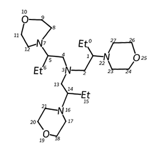 CCC(CN(CC(CC)N1CCOCC1)CC(CC)N1CCOCC1)N1CCOCC1